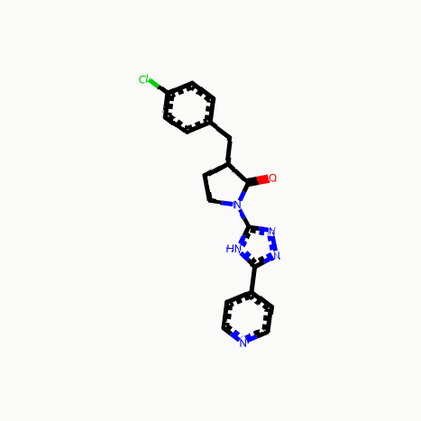 O=C1C(Cc2ccc(Cl)cc2)CCN1c1nnc(-c2ccncc2)[nH]1